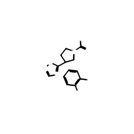 Cc1ccc([C@]2(c3ncns3)CCN(C(=O)Cl)C2)cc1F